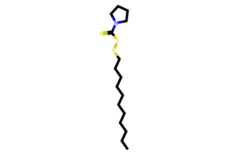 CCCCCCCCCCCSSC(=S)N1CCCC1